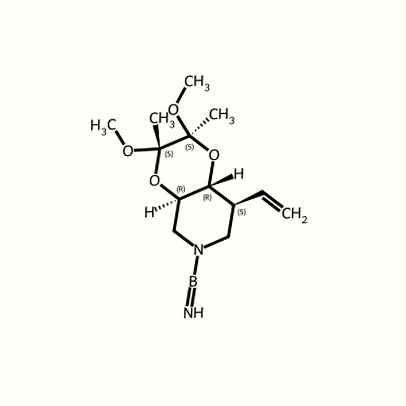 C=C[C@H]1CN(B=N)C[C@H]2O[C@](C)(OC)[C@@](C)(OC)O[C@H]12